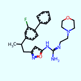 CC(Cc1cc(NC(N)=NCCN2CCOCC2)on1)c1ccc(-c2ccccc2)c(F)c1